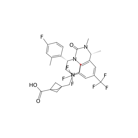 Cc1cc(F)ccc1[C@H]1CN(CC23CC(C(=O)O)(C2)C3)CCN1C(=O)N(C)[C@H](C)c1cc(C(F)(F)F)cc(C(F)(F)F)c1